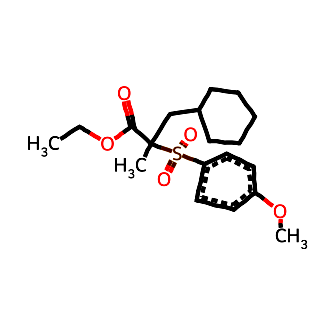 CCOC(=O)C(C)(CC1CCCCC1)S(=O)(=O)c1ccc(OC)cc1